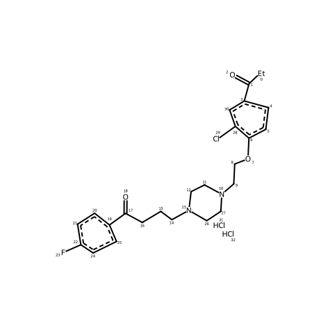 CCC(=O)c1ccc(OCCN2CCN(CCCC(=O)c3ccc(F)cc3)CC2)c(Cl)c1.Cl.Cl